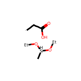 CCO[SiH](C)OCC.[CH2]CC(=O)O